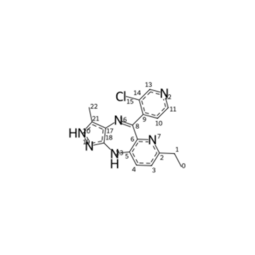 CCc1ccc2c(n1)C(c1ccncc1Cl)=Nc1c(n[nH]c1C)N2